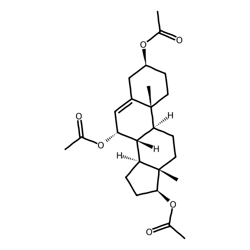 CC(=O)O[C@H]1CC[C@@]2(C)C(=C[C@@H](OC(C)=O)[C@H]3[C@@H]4CC[C@H](OC(C)=O)[C@@]4(C)CC[C@@H]32)C1